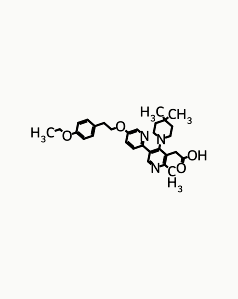 CCOc1ccc(CCOc2ccc(-c3cnc(C)c(CC(=O)O)c3N3CCC(C)(C)CC3)nc2)cc1